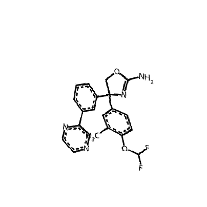 Cc1cc(C2(c3cccc(-c4cnccn4)c3)COC(N)=N2)ccc1OC(F)F